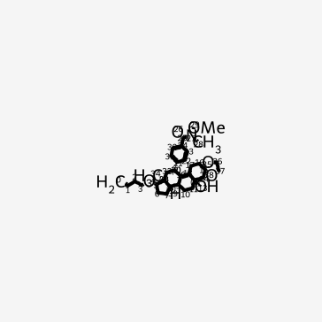 C=CCCOC1CC[C@H]2C3CC[C@@]4(O)CC5(CCC4=C3[C@@H](c3ccc(C(=O)N(C)OC)cc3)C[C@]12C)OCCO5